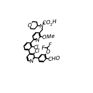 COc1nc(-c2cccc(-c3ccnc(-c4ccc(C=O)c(OC(F)F)c4)c3Cl)c2Cl)ccc1CN(C(=O)O)C1CCOCC1